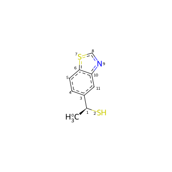 C[C@H](S)c1ccc2scnc2c1